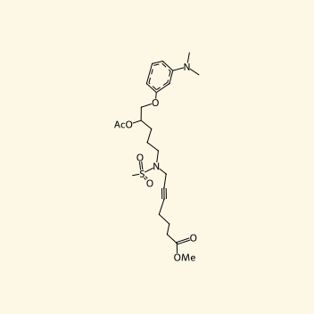 COC(=O)CCCC#CCN(CCCC(COc1cccc(N(C)C)c1)OC(C)=O)S(C)(=O)=O